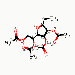 CC[C@@H]1O[C@H](C(COC(C)=O)OC(C)=O)[C@H](OC(C)=O)[C@H]1OC(C)=O